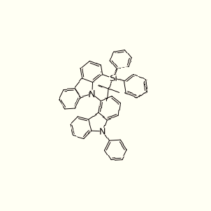 CC(C)(C)[Si](c1ccccc1)(c1ccccc1)c1cccc2c3ccccc3n(-c3cccc4c3c3ccccc3n4-c3ccccc3)c12